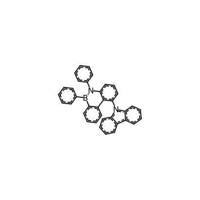 c1ccc(B2c3ccccc3-c3c(cccc3-n3c4ccccc4c4ccccc43)N2c2ccccc2)cc1